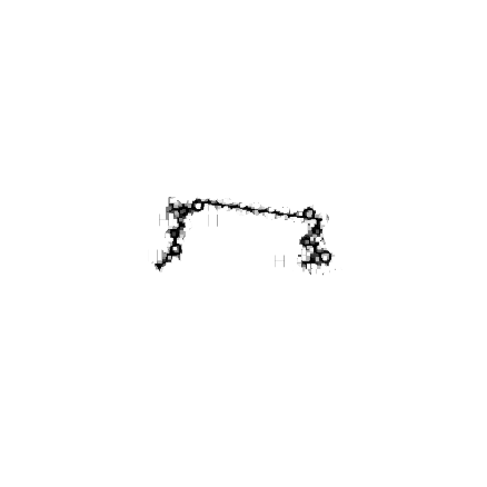 CN[C@@H](C)C(=O)N[C@H](C(=O)N1CCC[C@H]1c1nc(C(=O)c2cccc(OCCOCCOCCOCCOCCOCCNCc3ccc(-n4cc(NC(=O)c5coc(-c6ccnc(NCC7CC7)c6)n5)c(C(F)F)n4)cc3)c2)cs1)C1CCCCC1